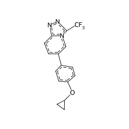 FC(F)(F)c1nnc2ccc(-c3ccc(OC4CC4)cc3)cn12